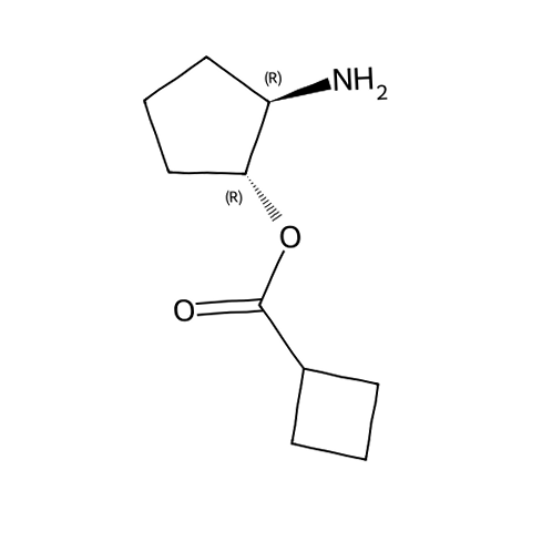 N[C@@H]1CCC[C@H]1OC(=O)C1CCC1